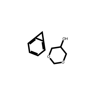 OC1COCOC1.c1ccc2c(c1)C2